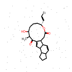 CC/C=C/[C@H]1CCCC(O)C(C)C(=O)C2=CC3C(C=CC4CCCC43)C2CC(=O)O1